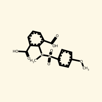 COc1ccc(S(=O)(=O)N(C)c2c(C(=O)O)cccc2C(=O)O)cc1